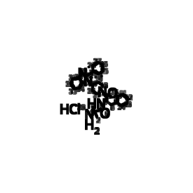 CC(C)(N)C(=O)N[C@H](Cc1ccccc1)C(=O)N1CCC(n2c(-c3ccccc3)nc3ccccc32)CC1.Cl